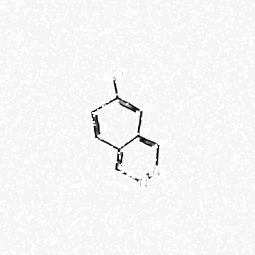 CC(C)c1ccc2cnncc2c1